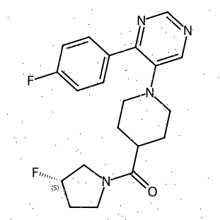 O=C(C1CCN(c2cncnc2-c2ccc(F)cc2)CC1)N1CC[C@H](F)C1